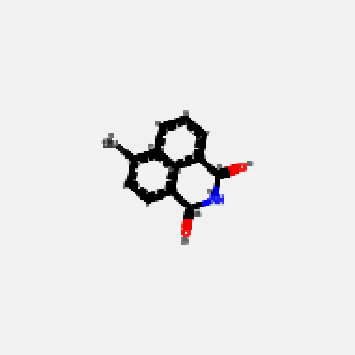 CC(C)(C)c1ccc2c3c(cccc13)C(=O)NC2=O